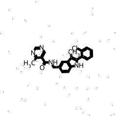 Cc1ncncc1C(=O)NCc1ccc2[nH]c(-c3ccccc3Cl)c(C)c2c1